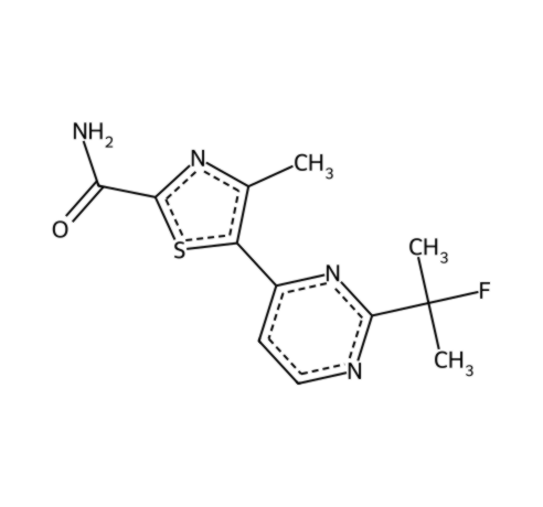 Cc1nc(C(N)=O)sc1-c1ccnc(C(C)(C)F)n1